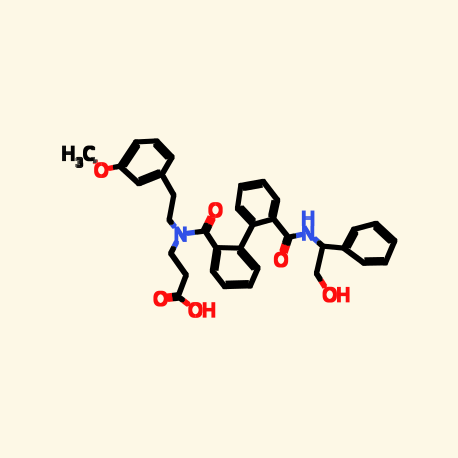 COc1cccc(CCN(CCC(=O)O)C(=O)c2ccccc2-c2ccccc2C(=O)NC(CO)c2ccccc2)c1